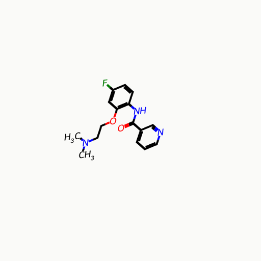 CN(C)CCOc1cc(F)ccc1NC(=O)c1cccnc1